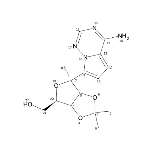 CC1(C)OC2C(O1)[C@](C)(c1ccc3c(N)ncnn13)O[C@@H]2CO